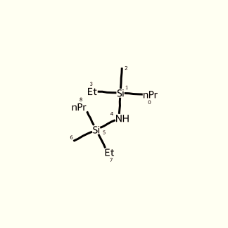 CCC[Si](C)(CC)N[Si](C)(CC)CCC